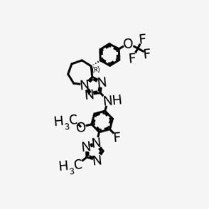 COc1cc(Nc2nc3n(n2)CCCC[C@@H]3c2ccc(OC(F)(F)F)cc2)cc(F)c1-n1cnc(C)n1